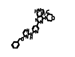 C[C@H]1COCCN1c1nc(-c2ccc(Nc3nccc(OCc4ccccc4)n3)nc2)nc2c1CCNC2